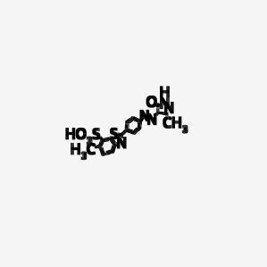 CC1=NNC(=O)C1N=Nc1ccc(-c2nc3ccc(C)c(S(=O)(=O)O)c3s2)cc1